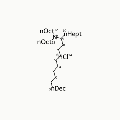 CCCCCCCCCCCCCCCCCCC(CCCCCCC)N(CCCCCCCC)CCCCCCCC.Cl